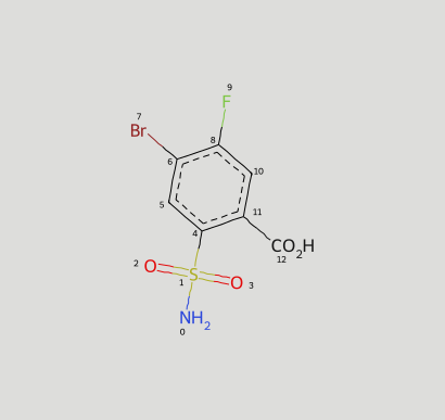 NS(=O)(=O)c1cc(Br)c(F)cc1C(=O)O